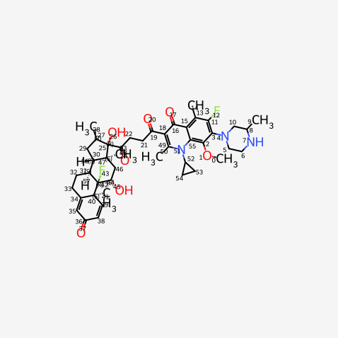 COc1c(N2CCNC(C)C2)c(F)c(C)c2c(=O)c(C(=O)CCC(=O)[C@@]3(O)[C@H](C)C[C@H]4[C@@H]5CCC6=CC(=O)C=C[C@]6(C)[C@@]5(F)[C@@H](O)C[C@@]43C)c(C)n(C3CC3)c12